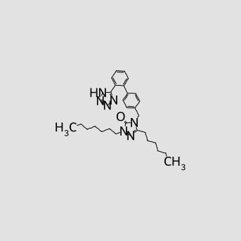 CCCCCCCn1nc(CCCCCC)n(Cc2ccc(-c3ccccc3-c3nnn[nH]3)cc2)c1=O